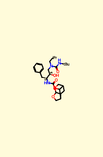 CC(C)CN(C[C@@H](O)[C@H](Cc1ccccc1)NC(=O)OC1C2COC3OCC1C3C2)C(=O)NC(C)(C)C